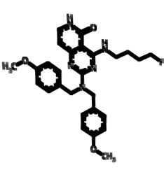 COc1ccc(CN(Cc2ccc(OC)cc2)c2nc(NCCCCF)c3c(=O)[nH]ccc3n2)cc1